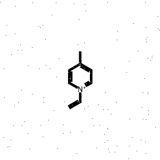 C=C[n+]1ccc(C)cc1